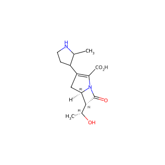 CC1NCCC1C1=C(C(=O)O)N2C(=O)[C@H]([C@@H](C)O)[C@H]2C1